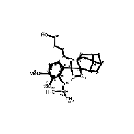 COc1ccc(C2(OCCCCO)OOC23C2CC4CC(C2)CC3C4)c(O[SiH](C)C)c1C(C)(C)C